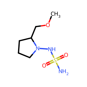 COCC1CCCN1NS(N)(=O)=O